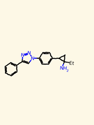 CCC1(N)CC1c1ccc(-n2cc(-c3ccccc3)nn2)cc1